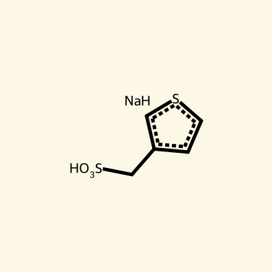 O=S(=O)(O)Cc1ccsc1.[NaH]